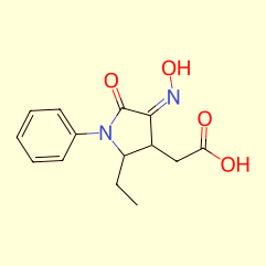 CCC1C(CC(=O)O)C(=NO)C(=O)N1c1ccccc1